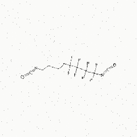 O=C=NCCCCC(F)(F)C(F)(F)C(F)(F)C(F)(F)N=C=O